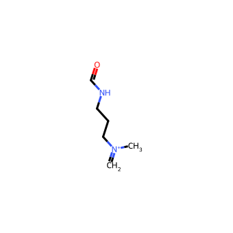 C=[N+](C)CCCNC=O